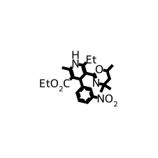 CCOC(=O)C1=C(C)NC(CC)=C(C2=NC(C)(C)CC(C)O2)C1c1cccc([N+](=O)[O-])c1